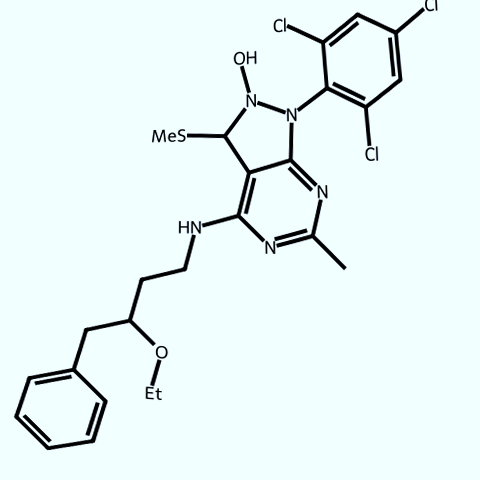 CCOC(CCNc1nc(C)nc2c1C(SC)N(O)N2c1c(Cl)cc(Cl)cc1Cl)Cc1ccccc1